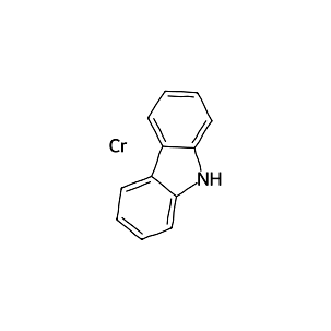 [Cr].c1ccc2c(c1)[nH]c1ccccc12